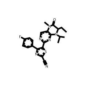 CCC1C(=O)N(C)c2cnc(-c3sc(C#N)nc3-c3ccc(F)cc3)nc2N1C(C)C